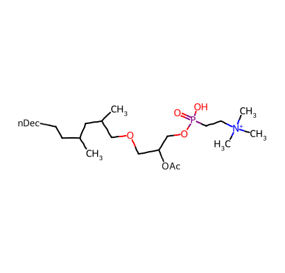 CCCCCCCCCCCCC(C)CC(C)COCC(COP(=O)(O)CC[N+](C)(C)C)OC(C)=O